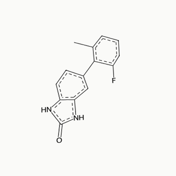 Cc1cccc(F)c1-c1ccc2[nH]c(=O)[nH]c2c1